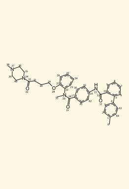 Cc1ccc(-c2ccccc2C(=O)Nc2ccc(C(=O)N(C)c3ccccc3OCCCC(=O)N3CCN(C)CC3)cc2)cc1